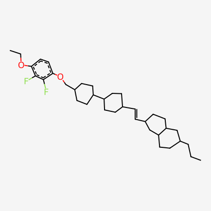 CCCC1CCC2CC(/C=C/C3CCC(C4CCC(COc5ccc(OCC)c(F)c5F)CC4)CC3)CCC2C1